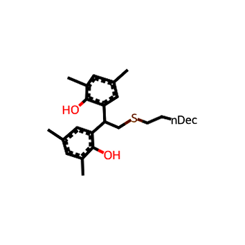 CCCCCCCCCCCCSCC(c1cc(C)cc(C)c1O)c1cc(C)cc(C)c1O